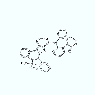 CC1(C)c2ccccc2-c2c1c1ccccc1c1c2oc2c(N(c3ccccc3)c3cccc4oc5ccccc5c34)cccc21